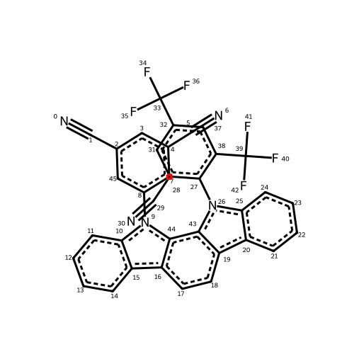 N#Cc1cc(C#N)cc(-n2c3ccccc3c3ccc4c5ccccc5n(-c5c(C#N)cc(C(F)(F)F)cc5C(F)(F)F)c4c32)c1